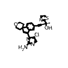 C[C@@](O)(C#Cc1ccc2c(c1)C(c1nc(N)ncc1Cl)=CC21CCOCC1)c1nccs1